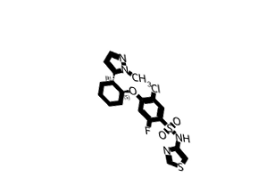 Cn1nccc1[C@H]1CCCC[C@@H]1Oc1cc(F)c(S(=O)(=O)Nc2cscn2)cc1Cl